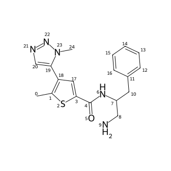 Cc1sc(C(=O)NC(CN)Cc2ccccc2)cc1-c1cnnn1C